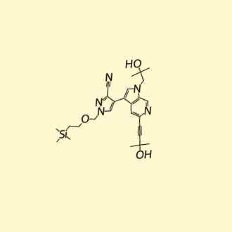 CC(C)(O)C#Cc1cc2c(-c3cn(COCC[Si](C)(C)C)nc3C#N)cn(CC(C)(C)O)c2cn1